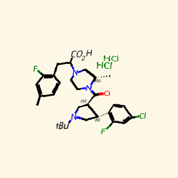 Cc1ccc(CC(C(=O)O)N2CCN(C(=O)[C@@H]3CN(C(C)(C)C)C[C@H]3c3ccc(Cl)cc3F)[C@@H](C)C2)c(F)c1.Cl.Cl